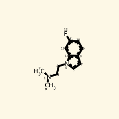 CN(C)CCn1ccc2ccc(F)cc21